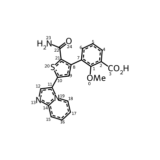 COc1c(C(=O)O)cccc1-c1cc(-c2cnc3ccccn23)sc1C(N)=O